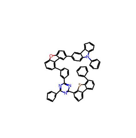 c1ccc(-c2nc(-c3cccc(-c4cccc5oc6ccc(-c7ccc8c(c7)c7ccccc7n8-c7ccccc7)cc6c45)c3)nc(-c3cccc4c3sc3c(-c5ccccc5)cccc34)n2)cc1